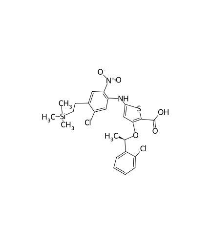 C[C@@H](Oc1cc(Nc2cc(Cl)c(CC[Si](C)(C)C)cc2[N+](=O)[O-])sc1C(=O)O)c1ccccc1Cl